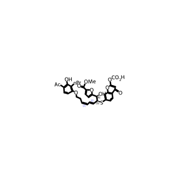 CCCc1c(OCC/C=C\C=C\[C@H](Sc2ccc3c(=O)cc(OC(=O)O)oc3c2)[C@H](O)c2ccc(C(=O)OC)o2)ccc(C(C)=O)c1O